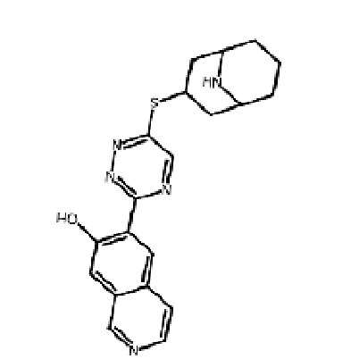 Oc1cc2cnccc2cc1-c1ncc(SC2CC3CCCC(C2)N3)nn1